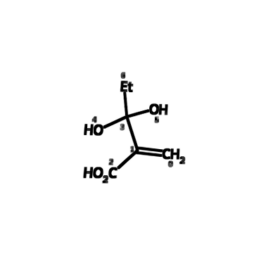 C=C(C(=O)O)C(O)(O)CC